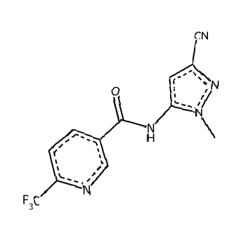 Cn1nc(C#N)cc1NC(=O)c1ccc(C(F)(F)F)nc1